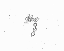 CC(C)C[C@H](NC(=O)c1ccc(-c2csc(N3CCN(C)CC3)n2)cc1)C(=O)N1C[C@H](C(C)(C)C)[C@H]2OCC(=O)[C@H]21